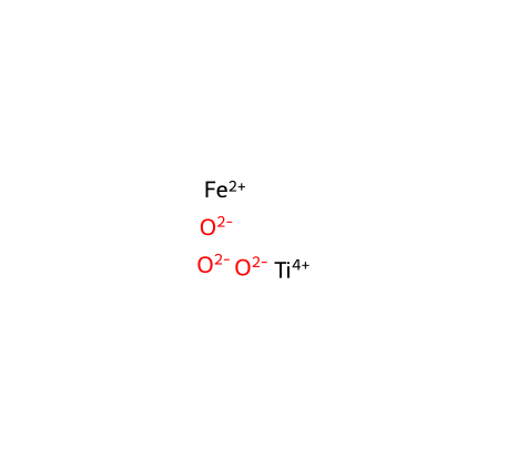 [Fe+2].[O-2].[O-2].[O-2].[Ti+4]